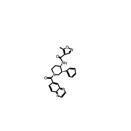 Cc1oncc1C(=O)N[C@@H]1CCN(C(=O)c2ccc3nccnc3c2)C[C@@H]1c1ccccc1